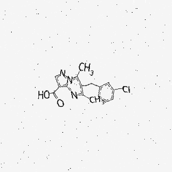 Cc1nc2c(C(=O)O)cnn2c(C)c1Cc1cccc(Cl)c1